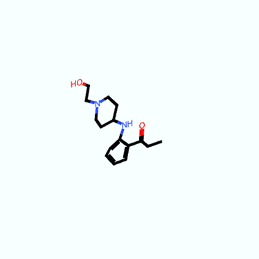 CCC(=O)c1ccccc1NC1CCN(CCO)CC1